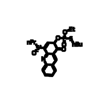 CCCCSP(=O)(OCC)OC1C=C([S+]([O-])CCC)c2nc3ccccc3cc2C1=O